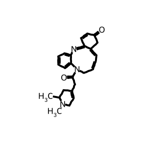 CC1CC(CC(=O)N2CC=CC=C3CC(=O)C=CC3=Nc3ccccc32)=CCN1C